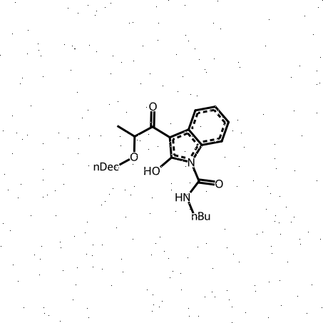 CCCCCCCCCCOC(C)C(=O)c1c(O)n(C(=O)NCCCC)c2ccccc12